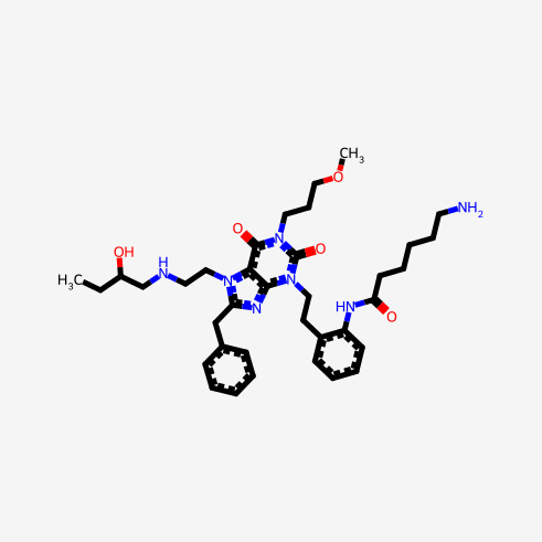 CCC(O)CNCCn1c(Cc2ccccc2)nc2c1c(=O)n(CCCOC)c(=O)n2CCc1ccccc1NC(=O)CCCCCN